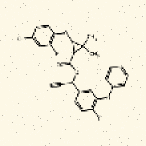 CC1(C)C(Oc2ccc(Cl)cc2F)C1C(=O)OC(C#N)c1ccc(F)c(Oc2ccccc2)c1